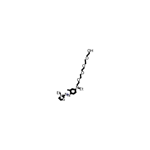 CCN(CCOCCOCCOCCOCCO)c1ccc(/N=N/c2scc[n+]2CC)c(C)c1